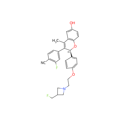 CC1=C(c2ccc(C#N)c(F)c2)[C@H](c2ccc(OCCN3CC(CF)C3)cc2)Oc2ccc(O)cc21